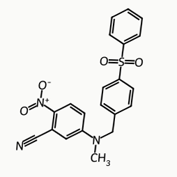 CN(Cc1ccc(S(=O)(=O)c2ccccc2)cc1)c1ccc([N+](=O)[O-])c(C#N)c1